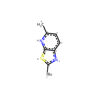 Cc1ccc2nc(C(C)(C)C)sc2n1